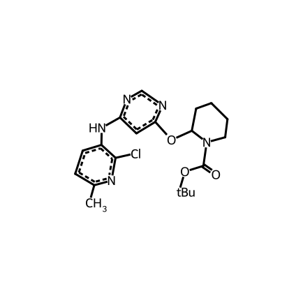 Cc1ccc(Nc2cc(OC3CCCCN3C(=O)OC(C)(C)C)ncn2)c(Cl)n1